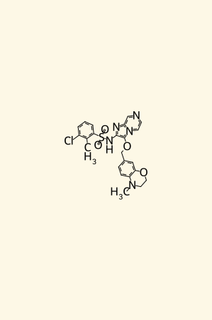 Cc1c(Cl)cccc1S(=O)(=O)Nc1nc2cnccn2c1OCc1ccc2c(c1)OCCN2C